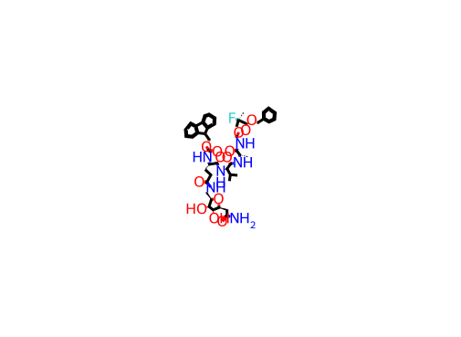 CC(C)[C@H](NC(=O)[C@H](CCC(=O)NC[C@H]1O[C@@H](CC(N)=O)[C@H](O)[C@@H]1O)NC(=O)OCC1c2ccccc2-c2ccccc21)C(=O)N[C@@H](C)C(=O)NCOC[C@@](C)(F)C(=O)OCc1ccccc1